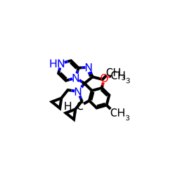 CCC1=NC2=CNC=CN2C1(c1c(C)cc(C)cc1OC)N(CC1CC1)CC1CC1